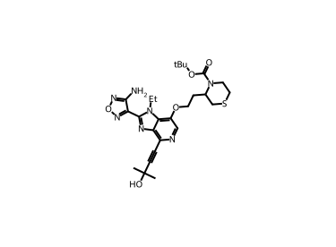 CCn1c(-c2nonc2N)nc2c(C#CC(C)(C)O)ncc(OCCC3CSCCN3C(=O)OC(C)(C)C)c21